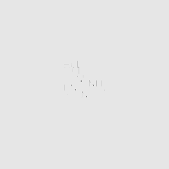 Cl.Cl.NP(N)(=O)N(CCCl)CCCl